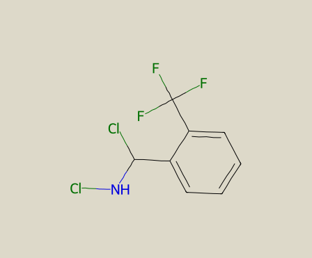 FC(F)(F)c1ccccc1C(Cl)NCl